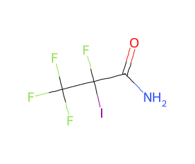 NC(=O)C(F)(I)C(F)(F)F